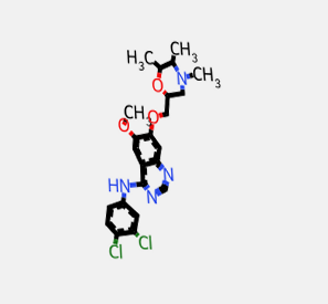 COc1cc2c(Nc3ccc(Cl)c(Cl)c3)ncnc2cc1OCC1CN(C)C(C)C(C)O1